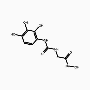 O=C(CNC(=O)Nc1ccc(O)c(O)c1O)NO